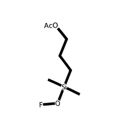 CC(=O)OCCC[Si](C)(C)OF